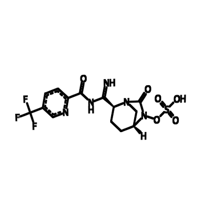 N=C(NC(=O)c1ccc(C(F)(F)F)cn1)[C@@H]1CC[C@@H]2CN1C(=O)N2OS(=O)(=O)O